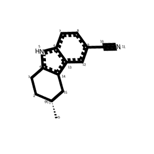 C[C@@H]1CCc2[nH]c3ccc(C#N)cc3c2C1